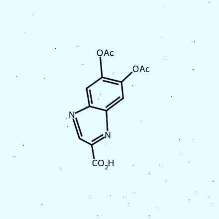 CC(=O)Oc1cc2ncc(C(=O)O)nc2cc1OC(C)=O